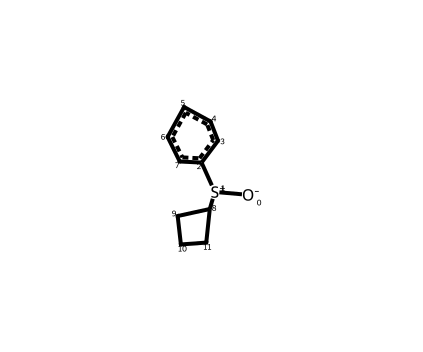 [O-][S+](c1ccccc1)C1CCC1